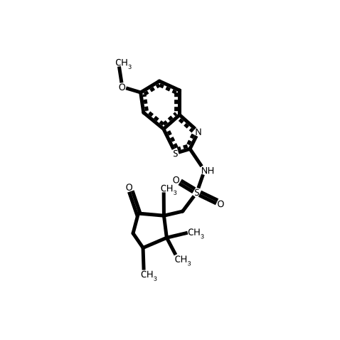 COc1ccc2nc(NS(=O)(=O)CC3(C)C(=O)CC(C)C3(C)C)sc2c1